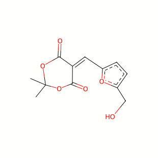 CC1(C)OC(=O)C(=Cc2ccc(CO)o2)C(=O)O1